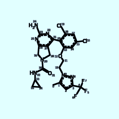 Cc1cc(C(F)(F)F)nn1CCOc1cc(Cl)cc(Cl)c1-c1nc(N)nc2c1CN(C(=O)NC1CC1)C2